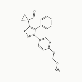 COCOc1ccc(-c2noc(C3(C=O)CC3)c2-c2ccccc2)cc1